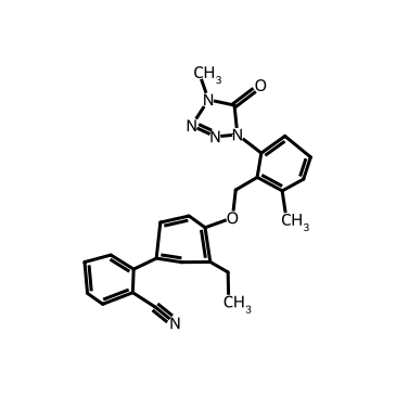 CCc1cc(-c2ccccc2C#N)ccc1OCc1c(C)cccc1-n1nnn(C)c1=O